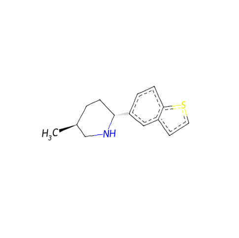 C[C@H]1CC[C@H](c2ccc3sccc3c2)NC1